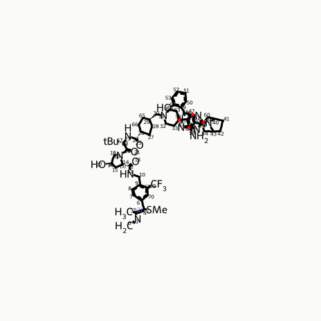 C=N/C(C)=C(\SC)c1ccc(CNC(=O)[C@@H]2C[C@@H](O)CN2C(=O)[C@@H](NC(=O)[C@H]2CC[C@H](CN3CCC(c4cnc(N5C6CCC5CN(c5cc(-c7ccccc7O)nnc5N)C6)nc4)CC3)CC2)C(C)(C)C)c(C(F)(F)F)c1